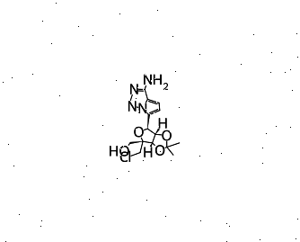 CC1(C)O[C@H]2[C@H](c3ccc4c(N)ncnn34)O[C@@](CO)(CCl)[C@H]2O1